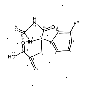 C=C(CC1(c2cccc(F)c2)NC(=O)NC1=O)C(=O)O